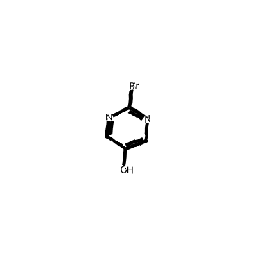 Oc1cnc(Br)nc1